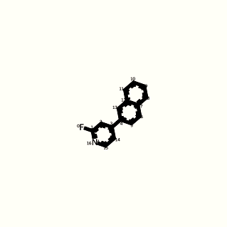 Fc1cc(-c2ccc3ccccc3c2)ccn1